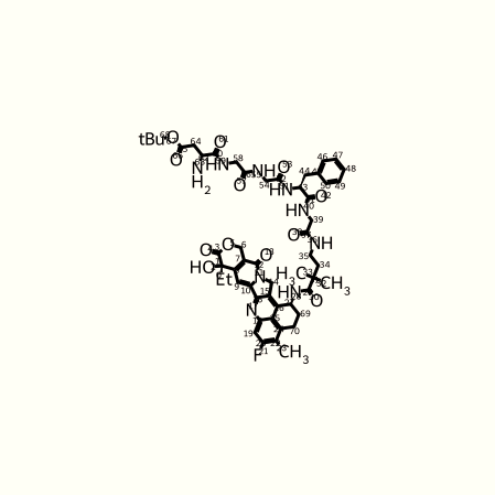 CC[C@@]1(O)C(=O)OCc2c1cc1n(c2=O)Cc2c-1nc1cc(F)c(C)c3c1c2[C@@H](NC(=O)C(C)(C)CCNC(=O)CNC(=O)[C@H](Cc1ccccc1)NC(=O)CNC(=O)CNC(=O)[C@@H](N)CC(=O)OC(C)(C)C)CC3